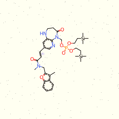 Cc1c(CN(C)C(=O)/C=C/c2cnc3c(c2)NCCC(=O)N3COP(=O)(OCC[Si](C)(C)C)OCC[Si](C)(C)C)oc2ccccc12